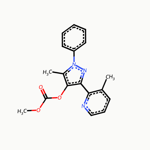 COC(=O)Oc1c(-c2ncccc2C)nn(-c2ccccc2)c1C